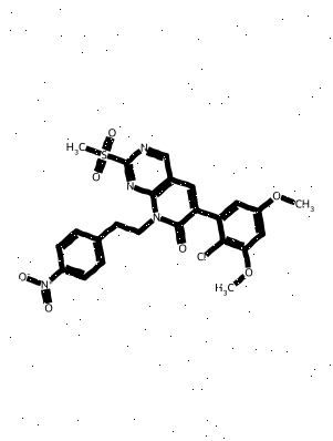 COc1cc(OC)c(Cl)c(-c2cc3cnc(S(C)(=O)=O)nc3n(CCc3ccc([N+](=O)[O-])cc3)c2=O)c1